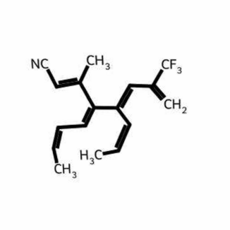 C=C(/C=C(\C=C/C)C(=C/C=C\C)/C(C)=C/C#N)C(F)(F)F